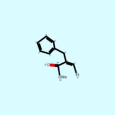 CCC=C(Cc1ccccc1)C(=O)OC